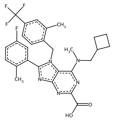 Cc1cc(C(F)(F)F)ccc1Cn1c(-c2cc(F)ccc2C)nc2nc(C(=O)O)nc(N(C)CC3CCC3)c21